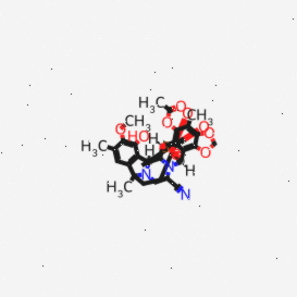 COc1c(C)cc2c(c1O)[C@@H]1C3[C@@H]4SCC(=O)C(=O)OC[C@@H](c5c6c(c(C)c(OC(C)=O)c54)OCO6)N3C3(C#N)CN1C2(C)C3